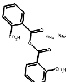 O=C(O)c1ccccc1C(=O)OC(=O)c1ccccc1C(=O)O.[NaH].[NaH]